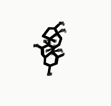 C[C@]12C(F)=CC(O)CC1C=C(O)[C@H]1[C@@H]3CCC(N)[C@@]3(C)CC[C@]12F